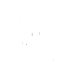 Cl.N=C(/C=C/c1ccc(Cl)cc1)NCc1ccccc1